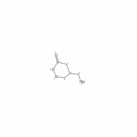 O=C1CC(CO)COO1